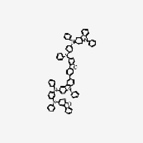 C1=CC(N(c2ccccc2)c2ccc(N(c3ccccc3)c3ccc4oc5cc(-c6ccc7c(c6)c6cc(N(c8ccccc8)c8cccc(N(c9ccccc9)c9ccc%10oc%11ccccc%11c%10c9)c8)ccc6n7-c6ccccc6)ccc5c4c3)cc2)Cc2c1n(-c1ccccc1)c1ccccc21